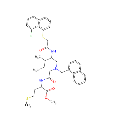 CCC(C)C(CN(CC(=O)NC(CCSC)C(=O)OC)Cc1cccc2ccccc12)NC(=O)CSc1cccc2cccc(Cl)c12